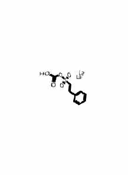 O=C(O)OS(=O)(=O)C=Cc1ccccc1.[La].[La]